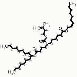 CCCCCC/C=C\COC(=O)CCCCCN(CCCC(=O)OC(CCCCCCC)CCCCCCCC)C(=O)SCCN(C)C